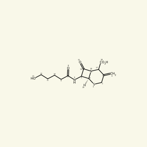 C=C1CS[C@H]2C(NC(=O)CCCCO)C(=O)N2C1C(=O)O